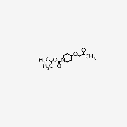 CC(=O)COC1CCN(C(=O)OC(C)C)CC1